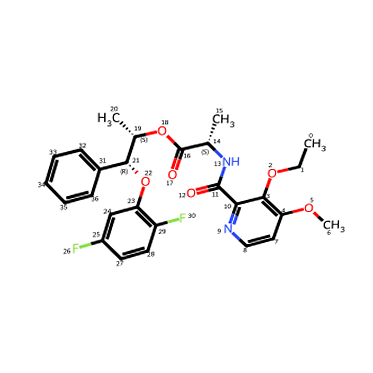 CCOc1c(OC)ccnc1C(=O)N[C@@H](C)C(=O)O[C@@H](C)[C@H](Oc1cc(F)ccc1F)c1ccccc1